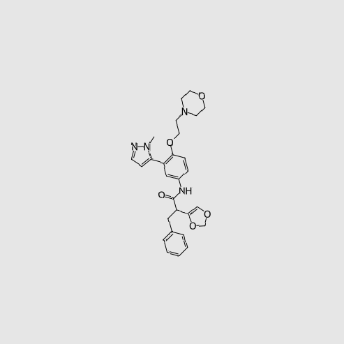 Cn1nccc1-c1cc(NC(=O)C(Cc2ccccc2)C2=COCO2)ccc1OCCN1CCOCC1